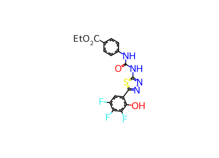 CCOC(=O)c1ccc(NC(=O)Nc2nnc(-c3cc(F)c(F)c(F)c3O)s2)cc1